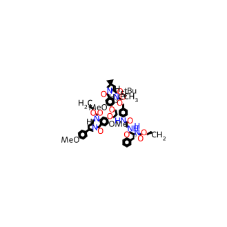 C=CCOC(=O)N[C@@H](Cc1ccccc1)C(=O)NCC(=O)Nc1ccc(COC(=O)N2c3cc(OCCCOc4cc5c(cc4OC)C(=O)N4C=C(c6ccc(OC)cc6)C[C@H]4CN5C(=O)OCC=C)c(OC)cc3C(=O)N3CC4(CC4)C[C@H]3C2O[Si](C)(C)C(C)(C)C)cc1